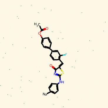 CC(=O)Oc1ccc(-c2ccc(C=C3SC(Nc4cc[c]([Na])cc4)=NC3=O)c(F)c2)cc1